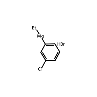 Br.C[CH2][Mg][c]1cccc(Cl)c1